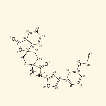 O=C1O[C@]2(CC[C@@](O)(C(=O)Nc3nc(-c4cccc(OCF)c4)co3)CC2)c2ccncc21